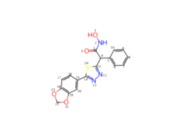 O=C(NO)C(c1ccccc1)c1nnc(-c2ccc3c(c2)OCO3)s1